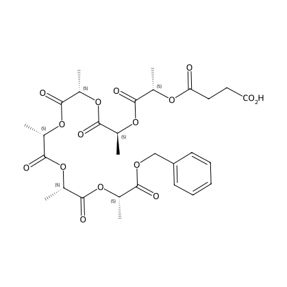 C[C@H](OC(=O)CCC(=O)O)C(=O)O[C@@H](C)C(=O)O[C@@H](C)C(=O)O[C@@H](C)C(=O)O[C@@H](C)C(=O)O[C@@H](C)C(=O)OCc1ccccc1